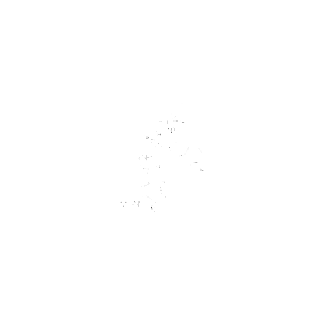 CNc1cc(-c2nnc(N(C[C@H](Cc3ccc(C(F)(F)F)cc3)NC(=O)OC(C)(C)C)C(=O)OC(C)(C)C)s2)ccc1N